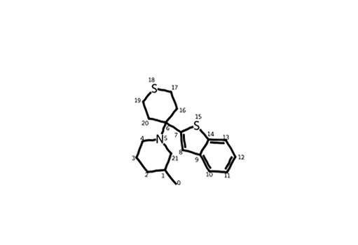 CC1CCCN(C2(c3cc4ccccc4s3)CCSCC2)C1